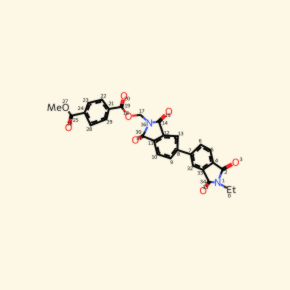 CCN1C(=O)c2ccc(-c3ccc4c(c3)C(=O)N(COC(=O)c3ccc(C(=O)OC)cc3)C4=O)cc2C1=O